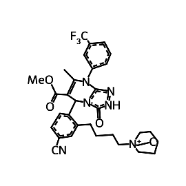 COC(=O)C1=C(C)N(c2cccc(C(F)(F)F)c2)c2n[nH]c(=O)n2C1c1ccc(C#N)cc1CCCC[N+]12CCC(CC1)CC2